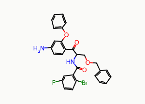 Nc1ccc(C(=O)C(COCc2ccccc2)NC(=O)c2cc(F)ccc2Br)c(Oc2ccccc2)c1